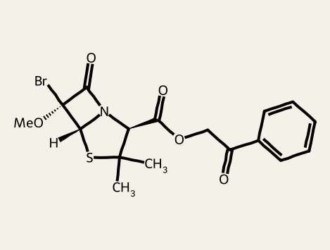 CO[C@]1(Br)C(=O)N2[C@@H](C(=O)OCC(=O)c3ccccc3)C(C)(C)S[C@@H]21